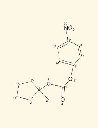 CC1(OC(=O)Oc2ccc([N+](=O)[O-])cc2)CCCC1